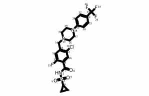 O=C(NS(=O)(=O)C1CC1)c1cc(Cl)c(CN2CCN(c3ccc(C(F)(F)F)cc3)CC2)cc1F